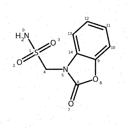 NS(=O)(=O)Cn1c(=O)oc2ccccc21